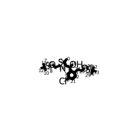 Cc1sc(CO[Si](C)(C)C(C)(C)C)nc1C(O)c1cc(Cl)ccc1CCO[Si](C)(C)C(C)(C)C